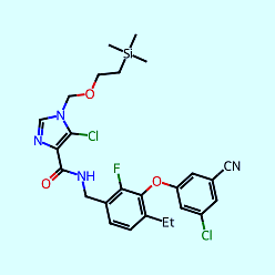 CCc1ccc(CNC(=O)c2ncn(COCC[Si](C)(C)C)c2Cl)c(F)c1Oc1cc(Cl)cc(C#N)c1